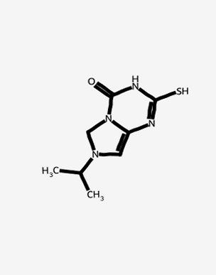 CC(C)N1C=C2N=C(S)NC(=O)N2C1